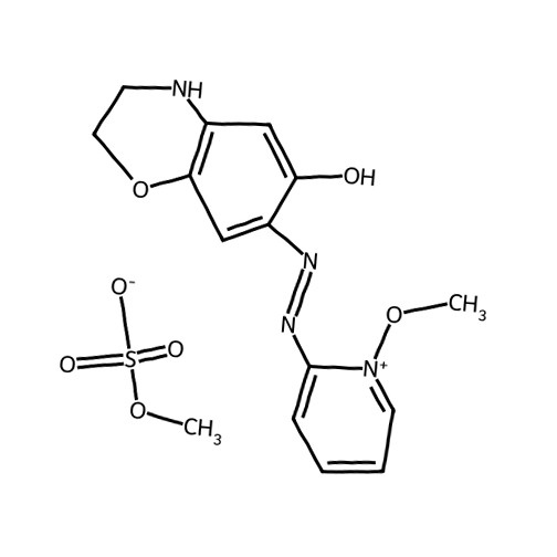 COS(=O)(=O)[O-].CO[n+]1ccccc1N=Nc1cc2c(cc1O)NCCO2